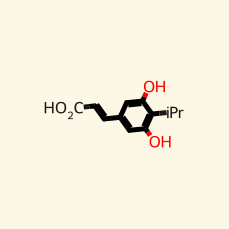 CC(C)c1c(O)cc(C=CC(=O)O)cc1O